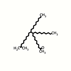 C=C(C)CCCCCCCC(CCCCCCCCC)C(CCCCCCCCC)CCCCCCCC(C)=O